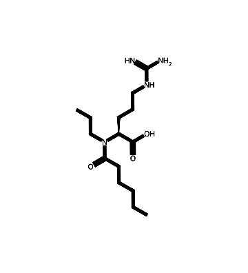 CCCCCC(=O)N(CCC)[C@@H](CCCNC(=N)N)C(=O)O